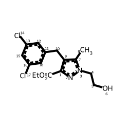 CCOC(=O)c1nn(CCO)c(C)c1Cc1cc(Cl)cc(Cl)c1